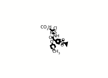 CN1CCC(OC(C(=O)Nc2nc(CC(=O)O)c(Cl)s2)c2ccc(S(=O)(=O)C3CC3)cc2)CC1